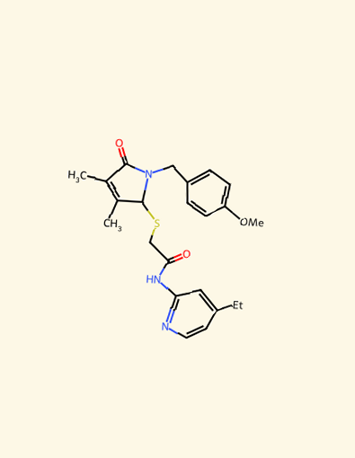 CCc1ccnc(NC(=O)CSC2C(C)=C(C)C(=O)N2Cc2ccc(OC)cc2)c1